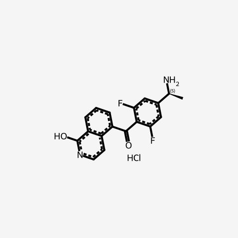 C[C@H](N)c1cc(F)c(C(=O)c2cccc3c(O)nccc23)c(F)c1.Cl